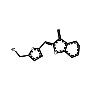 C=c1/c(=C/c2ccc(CO)o2)oc2ccccc12